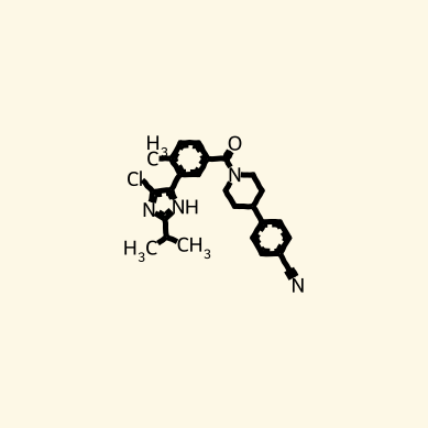 Cc1ccc(C(=O)N2CCC(c3ccc(C#N)cc3)CC2)cc1-c1[nH]c(C(C)C)nc1Cl